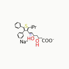 CC(C)c1sc(-c2ccccc2)c(-c2ccccc2)c1/C=C/C(O)CC(O)CC(=O)[O-].[Na+]